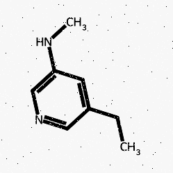 CCc1cncc(NC)c1